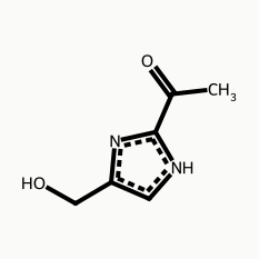 CC(=O)c1nc(CO)c[nH]1